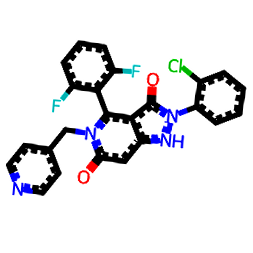 O=c1c2c(-c3c(F)cccc3F)n(Cc3ccncc3)c(=O)cc2[nH]n1-c1ccccc1Cl